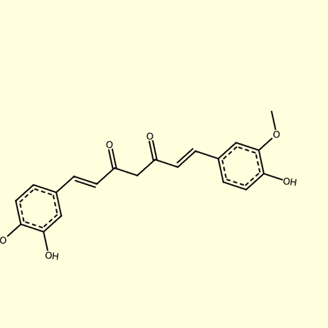 COc1ccc(C=CC(=O)CC(=O)C=Cc2ccc(O)c(OC)c2)cc1O